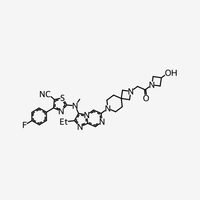 CCc1nc2cnc(N3CCC4(CC3)CN(CC(=O)N3CC(O)C3)C4)cn2c1N(C)c1nc(-c2ccc(F)cc2)c(C#N)s1